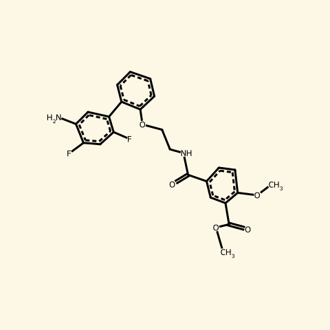 COC(=O)c1cc(C(=O)NCCOc2ccccc2-c2cc(N)c(F)cc2F)ccc1OC